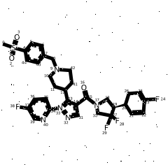 CS(=O)(=O)c1ccc(CN2CCC(c3c(C(=O)N4C[C@@H](C5C=CC(F)=CC5)C(F)(F)C4)cnn3-c3ccc(F)cn3)CC2)cc1